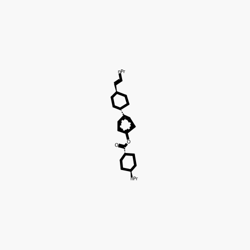 CCC/C=C/[C@H]1CC[C@H](c2ccc(OC(=O)[C@H]3CC[C@H](CCC)CC3)cc2)CC1